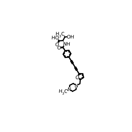 C[C@@H](O)[C@H](NC(=O)c1ccc(C#CC#Cc2ccc(CN3CCN(C)CC3)o2)cc1)C(=O)O